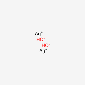 [Ag+].[Ag+].[OH-].[OH-]